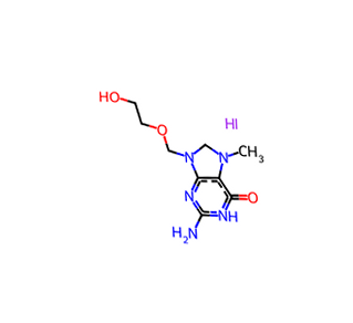 CN1CN(COCCO)c2nc(N)[nH]c(=O)c21.I